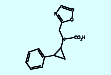 O=C(O)N(Cc1ncno1)C1CC1c1ccccc1